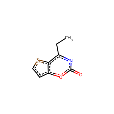 CCc1nc(=O)oc2ccsc12